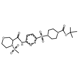 CC(C)(C)OC(=O)N1CCN(S(=O)(=O)c2ccc(NC(=O)C3COCCN3S(C)(=O)=O)nn2)CC1